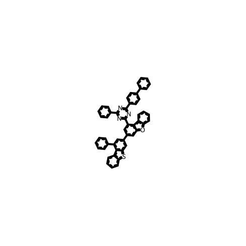 c1ccc(-c2ccc(-c3nc(-c4ccccc4)nc(-c4cc(-c5cc(-c6ccccc6)c6c(c5)sc5ccccc56)cc5oc6ccccc6c45)n3)cc2)cc1